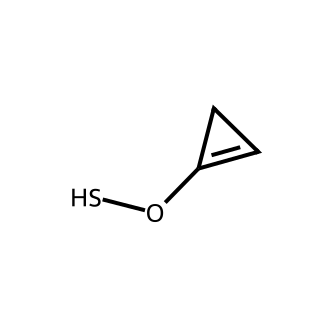 SOC1=CC1